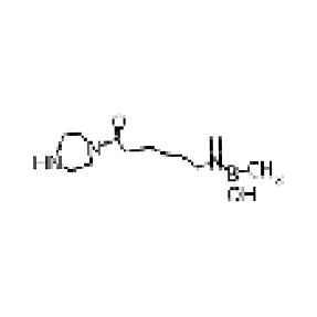 CB(O)NCCCCCC(=O)N1CCNCC1